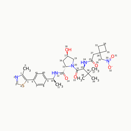 Cc1ncsc1-c1ccc([C@H](C)NC(=O)[C@@H]2C[C@@H](O)CN2C(=O)[C@@H](NC(=O)CC2(C[N+](=O)[O-])CCC2)C(C)(C)C)cc1